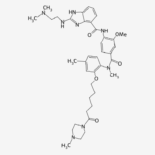 COc1cc(C(=O)N(C)c2ccc(C)cc2OCCCCCC(=O)N2CCN(C)CC2)ccc1NC(=O)c1cccc2[nH]c(NCCN(C)C)nc12